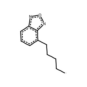 [CH2]CCCCc1cccc2nonc12